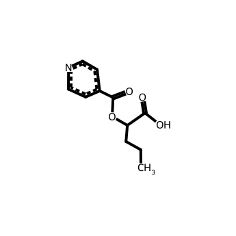 CCCC(OC(=O)c1ccncc1)C(=O)O